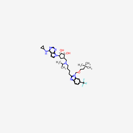 CC(C)N(CCCCc1nc2ccc(C(F)(F)F)cc2n1COCC[Si](C)(C)C)CC1CC(n2ccc3c(NC4CC4)ncnc32)[C@H](O)[C@@H]1O